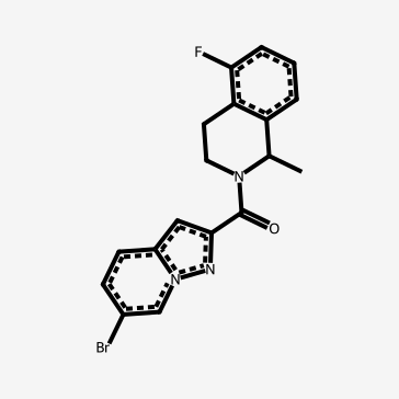 CC1c2cccc(F)c2CCN1C(=O)c1cc2ccc(Br)cn2n1